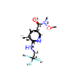 CON(C)C(=O)c1cnc(NCC(F)(F)F)c(C)c1